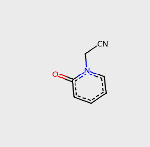 N#CCn1ccccc1=O